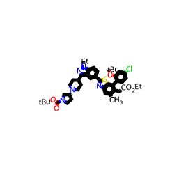 CCOC(=O)Cc1c(C)cc2nc(-c3ccc4c(c3)c(C3CCN([C@@H]5CCN(C(=O)OC(C)(C)C)C5)CC3)nn4CC)sc2c1-c1ccc(Cl)cc1OC(C)(C)C